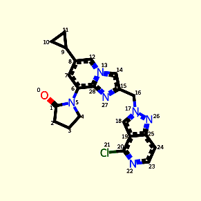 O=C1CCCN1c1cc(C2CC2)cn2cc(Cn3cc4c(Cl)nccc4n3)nc12